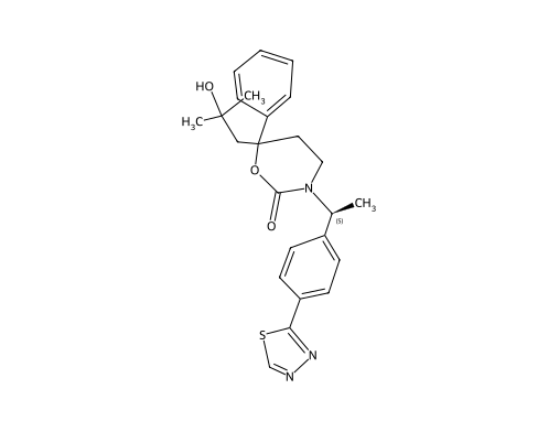 C[C@@H](c1ccc(-c2nncs2)cc1)N1CCC(CC(C)(C)O)(c2ccccc2)OC1=O